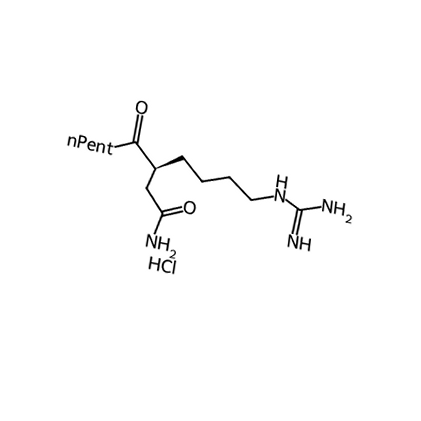 CCCCCC(=O)[C@@H](CCCCNC(=N)N)CC(N)=O.Cl